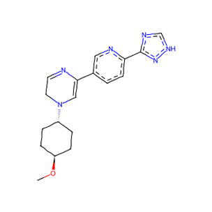 CO[C@H]1CC[C@H](N2C=C(c3ccc(-c4nc[nH]n4)nc3)N=CC2)CC1